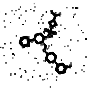 O=S(=O)(N[C@H]1CCN(c2cccnn2)C[C@H]1CO[C@H]1CC[C@@H](c2cccc(F)c2)CC1)N1CC(C(F)F)C1